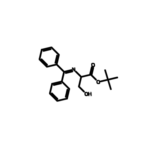 CC(C)(C)OC(=O)C(CO)N=C(c1ccccc1)c1ccccc1